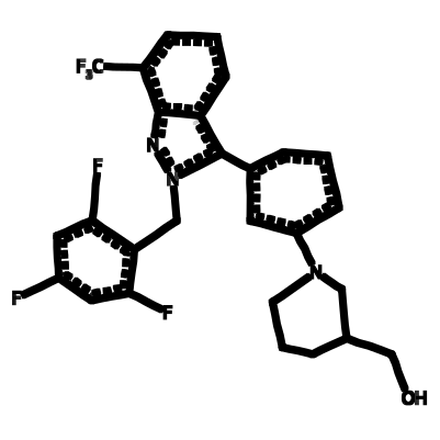 OCC1CCCN(c2cccc(-c3c4cccc(C(F)(F)F)c4nn3Cc3c(F)cc(F)cc3F)c2)C1